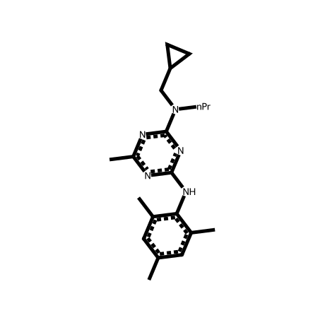 CCCN(CC1CC1)c1nc(C)nc(Nc2c(C)cc(C)cc2C)n1